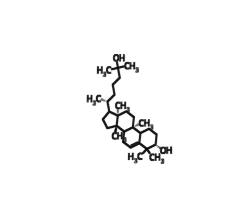 C[C@H](CCCC(C)(C)O)C1CC[C@@]2(C)C3CC=C4C(CC[C@H](O)C4(C)C)[C@]3(C)CC[C@]12C